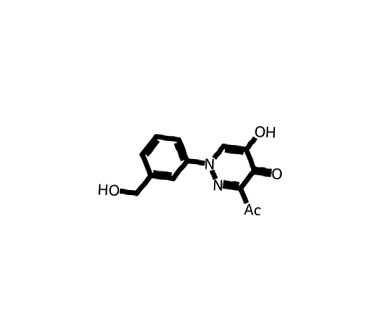 CC(=O)c1nn(-c2cccc(CO)c2)cc(O)c1=O